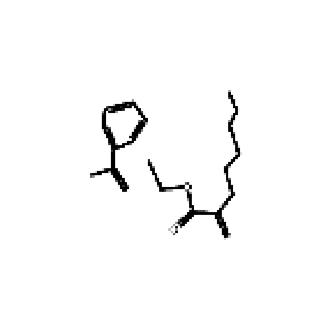 C=C(C)c1ccccc1.C=C(CCCCCC)C(=O)OCC